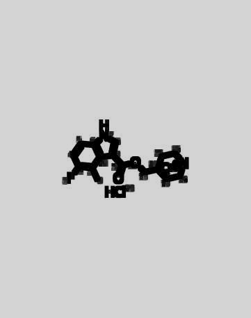 Cc1c(F)ccc2[nH]cc(C(=O)OCC34CCN(CC3)CC4)c12.Cl